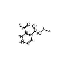 CCOC(=O)c1ccnnc1C(C)=O